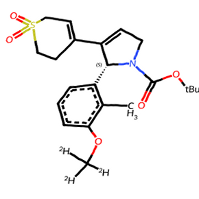 [2H]C([2H])([2H])Oc1cccc([C@@H]2C(C3=CCS(=O)(=O)CC3)=CCN2C(=O)OC(C)(C)C)c1C